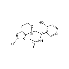 C[C@H]1C[C@@]2(C[C@@H](c3cnccc3O)N1)OCCc1cc(Cl)sc12